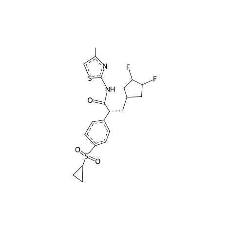 Cc1csc(NC(=O)[C@H](CC2CC(F)C(F)C2)c2ccc(S(=O)(=O)C3CC3)cc2)n1